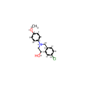 COc1ccc(N(CCO)Cc2ccc(Cl)cc2)cc1